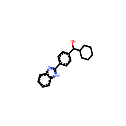 OC(c1ccc(-c2nc3ccccc3[nH]2)cc1)C1CCCCC1